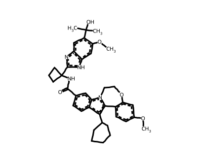 COc1ccc2c(c1)OCCn1c-2c(C2CCCCC2)c2ccc(C(=O)NC3(c4nc5cc(C(C)(C)O)c(OC)cc5[nH]4)CCC3)cc21